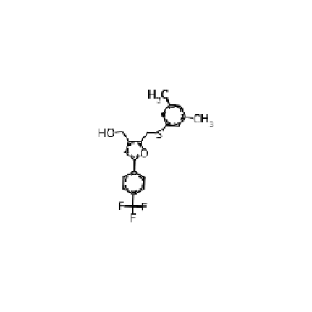 Cc1cc(C)cc(SCc2oc(-c3ccc(C(F)(F)F)cc3)cc2CO)c1